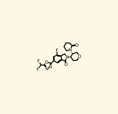 O=C1CCCCN1[C@@H]1COCC[C@H]1N1Cc2c(F)cc(-c3nnc(C(F)F)o3)cc2C1=O